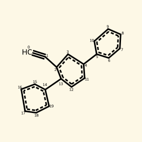 C#Cc1cc(-c2ccccc2)ccc1-c1ccccc1